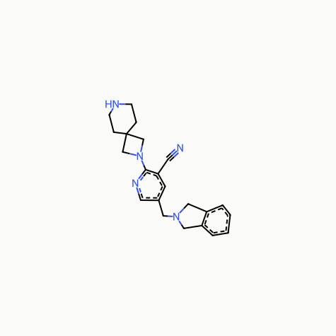 N#Cc1cc(CN2Cc3ccccc3C2)cnc1N1CC2(CCNCC2)C1